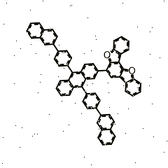 c1ccc2cc(-c3ccc(-c4c5ccccc5c(-c5ccc(-c6ccc7ccccc7c6)cc5)c5cc(-c6cc7c8ccccc8oc7c7c6oc6ccccc67)ccc45)cc3)ccc2c1